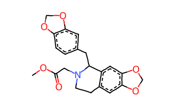 COC(=O)CN1CCc2cc3c(cc2C1Cc1ccc2c(c1)OCO2)OCO3